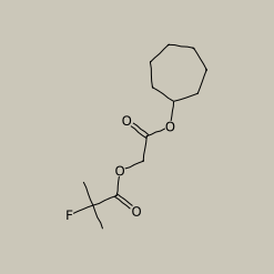 CC(C)(F)C(=O)OCC(=O)OC1CCCCCC1